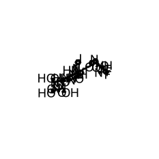 N#C[C@H]1CC(F)(F)CN1C(=O)CNC(=O)c1ccnc2ccc(OCCCC3CCN(C(=O)CCN/N=C\C(C/C=N/NCN/N=C/c4ccc(I)cc4)NC(=O)CN4CCN(CC(=O)O)CCN(CC(=O)O)CCN(CC(=O)O)CC4)CC3)cc12